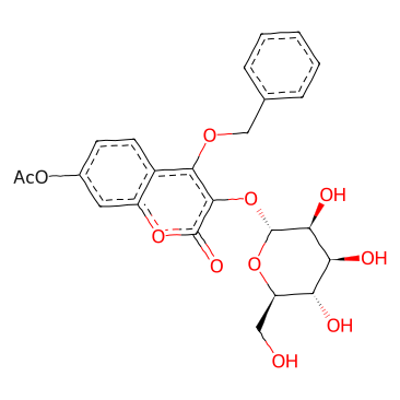 CC(=O)Oc1ccc2c(OCc3ccccc3)c(O[C@H]3O[C@H](CO)[C@@H](O)[C@H](O)[C@@H]3O)c(=O)oc2c1